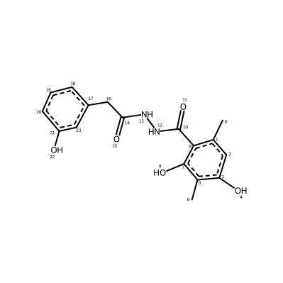 Cc1cc(O)c(C)c(O)c1C(=O)NNC(=O)Cc1cccc(O)c1